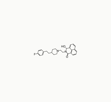 O=C1c2cccc3cccc(c23)C(O)N1CCN1CCC(CCc2ccc(F)cc2)CC1